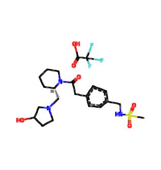 CS(=O)(=O)NCc1ccc(CC(=O)N2CCCC[C@H]2CN2CCC(O)C2)cc1.O=C(O)C(F)(F)F